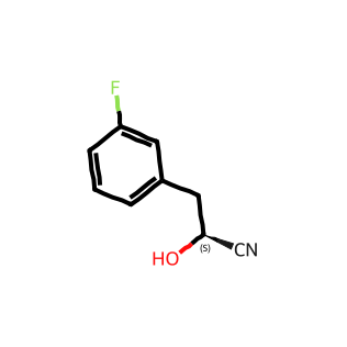 N#C[C@@H](O)Cc1cccc(F)c1